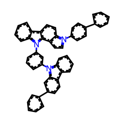 c1ccc(-c2ccc(-n3ccc4c3ccc3c5ccccc5n(-c5cccc(-n6c7ccccc7c7ccc(-c8ccccc8)cc76)c5)c34)cc2)cc1